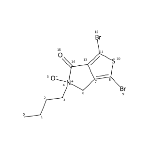 CCCC[N+]1([O-])Cc2c(Br)sc(Br)c2C1=O